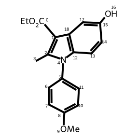 CCOC(=O)c1c(C)n(-c2ccc(OC)cc2)c2ccc(O)cc12